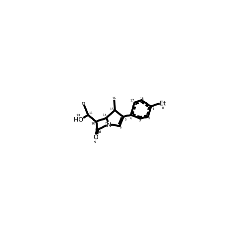 CCc1ccc(C2=CN3C(=O)C(C(C)O)C3C2C)cc1